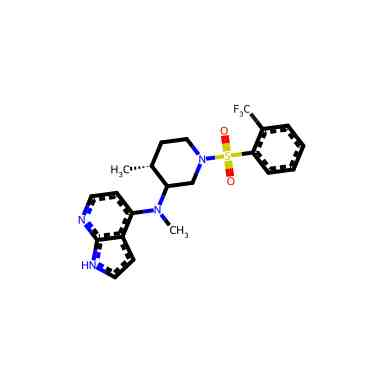 C[C@@H]1CCN(S(=O)(=O)c2ccccc2C(F)(F)F)CC1N(C)c1ccnc2[nH]ccc12